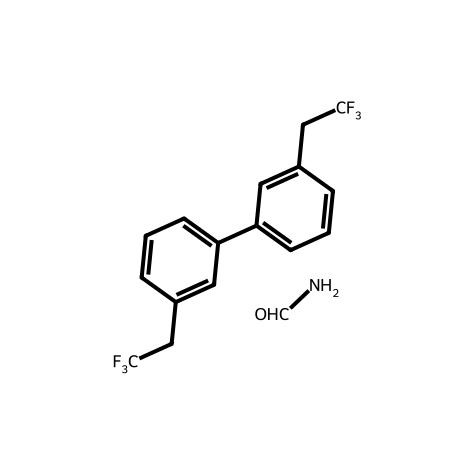 FC(F)(F)Cc1cccc(-c2cccc(CC(F)(F)F)c2)c1.NC=O